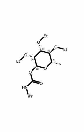 CCO[C@@H]1[C@@H](OCC)[C@H](C)O[C@@H](OC(=O)NC(C)C)[C@@H]1OCC